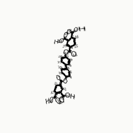 O=C(Oc1ccc(-c2ccc(OC(=O)c3ccc(C(=O)O)c(C(=O)O)c3)cc2)cc1)c1ccc(C(=O)O)c(C(=O)O)c1